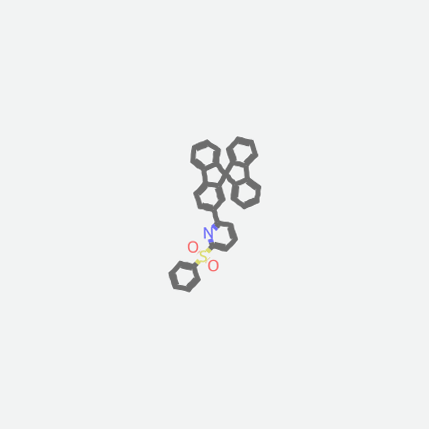 O=S(=O)(c1ccccc1)c1cccc(-c2ccc3c(c2)C2(c4ccccc4-c4ccccc42)c2ccccc2-3)n1